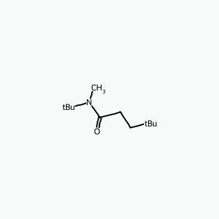 CN(C(=O)CCC(C)(C)C)C(C)(C)C